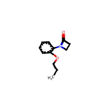 CCCOc1ccccc1N1CCC1=O